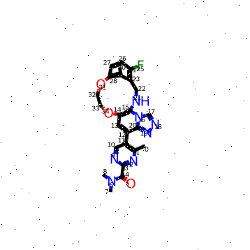 Cc1nc(C(=O)N(C)C)ncc1-c1cc2c(n3cnnc13)NCc1c(F)ccc(c1C)OCCO2